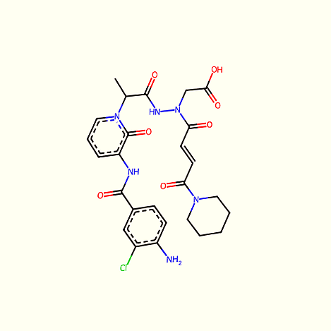 CC(C(=O)NN(CC(=O)O)C(=O)C=CC(=O)N1CCCCC1)n1cccc(NC(=O)c2ccc(N)c(Cl)c2)c1=O